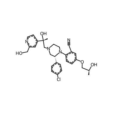 C[C@H](O)COc1ccc(N2CCN(C[C@@](C)(O)c3ccnc(CO)c3)C[C@H]2c2ccc(Cl)cc2)c(C#N)c1